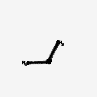 CCCCCCCCC/C=C/C=C/C=C/C=C/C=C/C=C/C(=O)OC(=O)/C=C/C=C/C=C/C=C/C=C/C=C/CCCCCCCCC